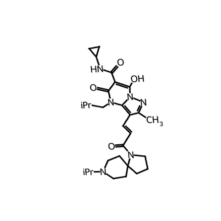 Cc1nn2c(O)c(C(=O)NC3CC3)c(=O)n(CC(C)C)c2c1/C=C/C(=O)N1CCCC12CCN(C(C)C)CC2